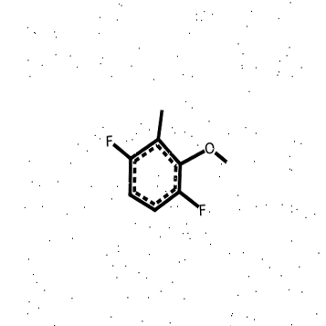 COc1c(F)ccc(F)c1C